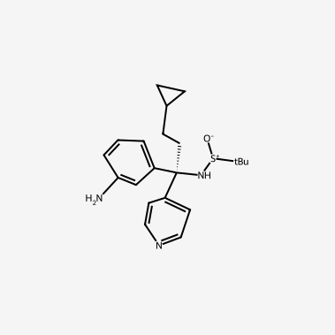 CC(C)(C)[S+]([O-])N[C@@](CCC1CC1)(c1ccncc1)c1cccc(N)c1